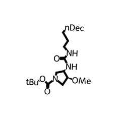 CCCCCCCCCCCCCNC(=O)N[C@H]1CN(C(=O)OC(C)(C)C)C[C@@H]1OC